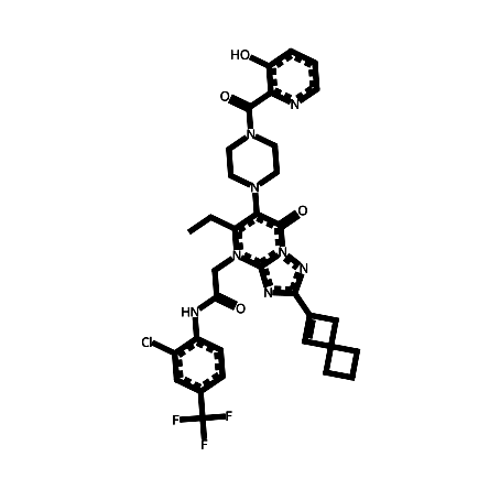 CCc1c(N2CCN(C(=O)c3ncccc3O)CC2)c(=O)n2nc(C3=CC4(CCC4)C3)nc2n1CC(=O)Nc1ccc(C(F)(F)F)cc1Cl